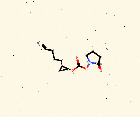 C=CCCC[C@@H]1C[C@H]1OC(=O)ON1CCCC1=O